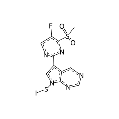 CS(=O)(=O)c1nc(-c2cn(SI)c3ncncc23)ncc1F